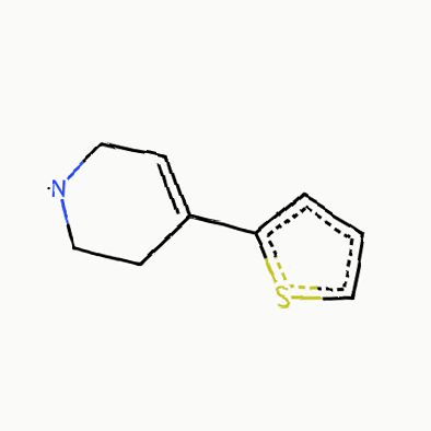 C1=C(c2cccs2)CC[N]C1